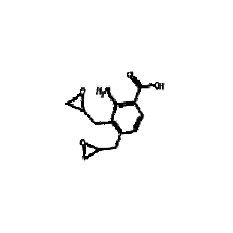 Nc1c(C(=O)O)ccc(CC2CO2)c1CC1CO1